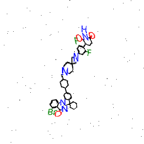 O=C1CCC(c2c(F)cc(N3CC4(CCN(CC5CCC(c6ccc7c(c6)-n6c(nc(=O)c8c(Br)cccc86)C76CCCCC6)CC5)CC4)C3)cc2F)C(=O)N1